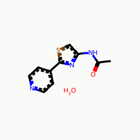 CC(=O)Nc1csc(-c2ccncc2)n1.O